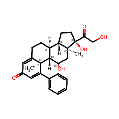 C[C@@]12C(=CC(=O)C=C1c1ccccc1)CC[C@@H]1[C@@H]2[C@@H](O)C[C@@]2(C)[C@H]1CC[C@]2(O)C(=O)CO